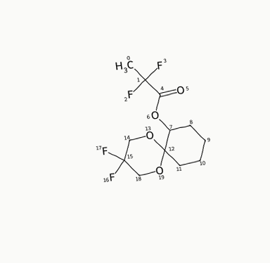 CC(F)(F)C(=O)OC1CCCCC12OCC(F)(F)CO2